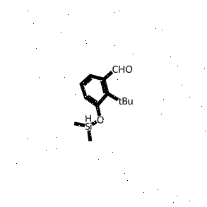 C[SiH](C)Oc1cccc(C=O)c1C(C)(C)C